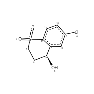 O=S1(=O)CC[C@H](O)c2cc(Cl)ccc21